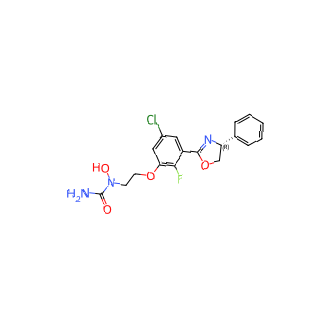 NC(=O)N(O)CCOc1cc(Cl)cc(C2=N[C@H](c3ccccc3)CO2)c1F